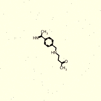 CC(=N)c1ccc(CNCCC(C)=O)cc1